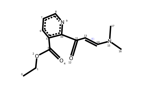 CCOC(=O)c1cccnc1C(=O)/C=C/N(C)C